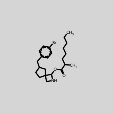 CCCCCCC(C)C(=O)OC1NCC12CCC(Cc1ccc(Br)cc1)C2